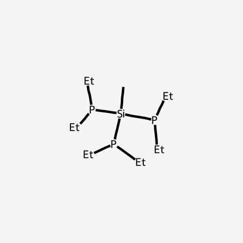 CCP(CC)[Si](C)(P(CC)CC)P(CC)CC